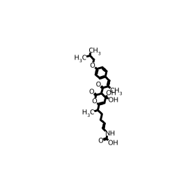 CC(=Cc1ccc(OCC(C)C)cc1)C(=O)C1C(=O)OC(C(C)CCC=CNC(=O)O)=CC1(O)O